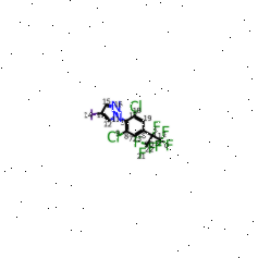 FC(F)(F)C(F)(c1cc(Cl)c(-n2cc(I)cn2)c(Cl)c1)C(F)(F)F